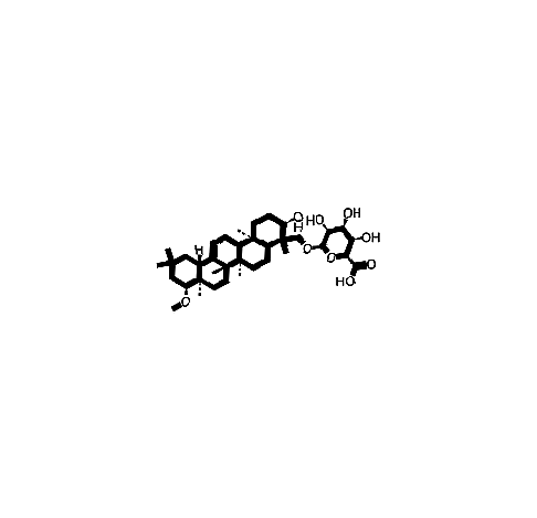 CO[C@@H]1CC(C)(C)C[C@@H]2C3=CCC4[C@@]5(C)CC[C@H](O)C(C)(CO[C@@H]6O[C@H](C(=O)O)[C@@H](O)[C@H](O)[C@H]6O)C5CC[C@@]4(C)[C@]3(C)CC[C@]21C